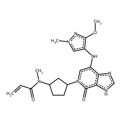 C=CC(=O)N(C)C1CCC(n2cc(Nc3cn(C)nc3OC)c3nc[nH]c3c2=O)C1